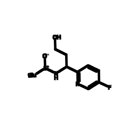 CC(C)(C)[S+]([O-])NC(CCO)c1ccc(F)cn1